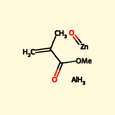 C=C(C)C(=O)OC.[AlH3].[O]=[Zn]